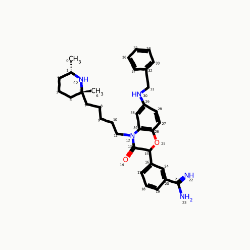 C[C@H]1CCC[C@@](C)(CCCCCN2C(=O)C(c3cccc(C(=N)N)c3)Oc3ccc(NCc4ccccc4)cc32)N1